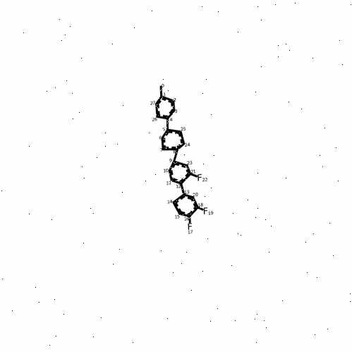 Cc1ccc(-c2ccc(-c3ccc(-c4ccc(F)c(F)c4)c(F)c3)cc2)cc1